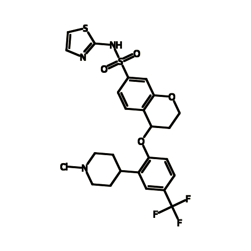 O=S(=O)(Nc1nccs1)c1ccc2c(c1)OCCC2Oc1ccc(C(F)(F)F)cc1C1CCN(Cl)CC1